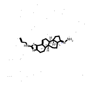 C=CCNc1nc2c(s1)C1=CC[C@@H]3[C@H](CC[C@]4(C)/C(=N/N)CC[C@@H]34)[C@@]1(C)CC2